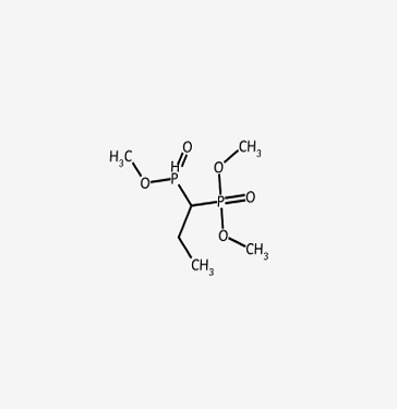 CCC([PH](=O)OC)P(=O)(OC)OC